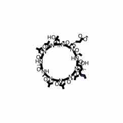 C/C=C/C[C@@H](C)[C@@H](O)[C@H]1C(=O)N[C@@H](CC)C(=O)N(C)[C@H](CSCCC(=O)OC)C(=O)N(C)[C@@H](CC(C)(C)O)C(=O)N[C@@H](C(C)C)C(=O)N(C)[C@@H](CC(C)C)C(=O)N[C@@H](C)C(=O)N[C@H](C)C(=O)N(C)[C@@H](CC(C)C)C(=O)N(C)[C@@H](CC(C)C)C(=O)N(C)[C@@H](C(C)C)C(=O)N1C